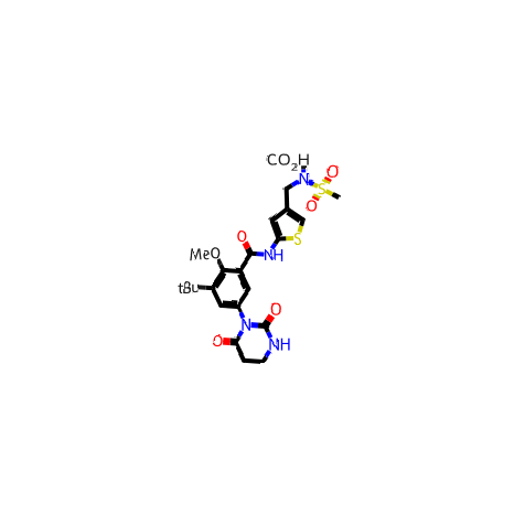 COc1c(C(=O)Nc2cc(CN(C(=O)O)S(C)(=O)=O)cs2)cc(N2C(=O)CCNC2=O)cc1C(C)(C)C